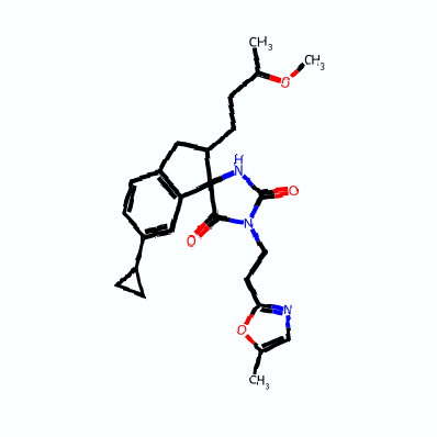 COC(C)CCC1Cc2ccc(C3CC3)cc2C12NC(=O)N(CCc1ncc(C)o1)C2=O